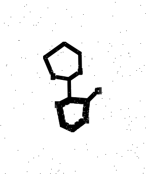 Clc1nccnc1C1SCCCS1